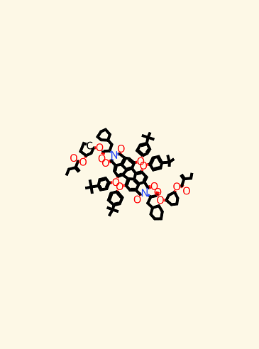 C=C(CC)C(=O)OC1CCCC(OC(=O)C(CC2CCCCC2)N2C(=O)c3cc(Oc4ccc(C(C)(C)C)cc4)c4c5c(Oc6ccc(C(C)(C)C)cc6)cc6c7c(cc(Oc8ccc(C(C)(C)C)cc8)c(c8c(Oc9ccc(C(C)(C)C)cc9)cc(c3c48)C2=O)c75)C(=O)N(C(CC2CCCCC2)C(=O)OC2CCCC(OC(=O)C(=C)CC)C2)C6=O)C1